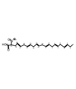 CCC=CCC=CCC=CCC=CCC=CCC=CCC(C(=O)O)[N+](=O)[O-]